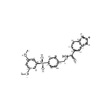 COc1cc(OC)cc(S(=O)(=O)c2ccc(CNC(=O)c3ccc4nccn4c3)cc2)c1